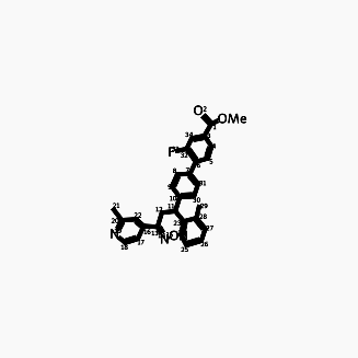 COC(=O)c1ccc(-c2ccc(C(C/C(=N\O)c3ccnc(C)c3)c3ccccc3C)cc2)c(F)c1